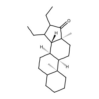 CCC1C(=O)[C@@]2(C)CC[C@@H]3[C@@H](CCC4CCCC[C@@]43C)[C@@H]2C1CC